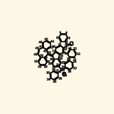 O=P(c1ccccc1)(c1ccccc1)c1ccc2c(c1)-c1cc(P(=O)(c3ccccc3)c3ccccc3)ccc1C2=C1c2ccccc2C=Cc2ccccc21